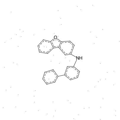 c1ccc(-c2cccc(Nc3ccc4oc5ccccc5c4c3)c2)cc1